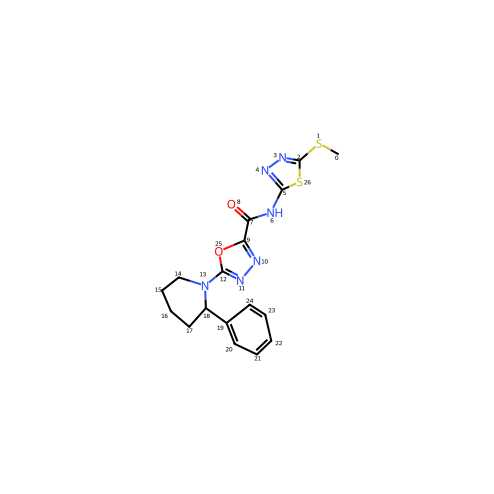 CSc1nnc(NC(=O)c2nnc(N3CCCCC3c3ccccc3)o2)s1